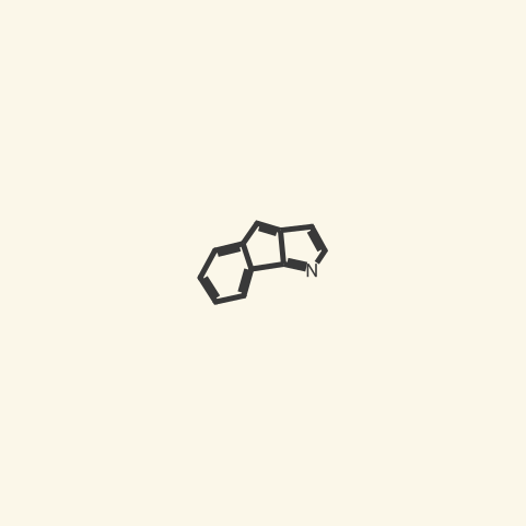 C1=CC2=Cc3ccccc3C2=N1